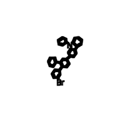 Brc1cccc(-c2ccc(-c3ccc4c5ccccc5n(-c5ccccc5)c4c3)cc2-c2ccccc2)c1